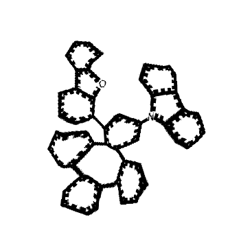 c1ccc2c(c1)-c1ccccc1-c1cc(-n3c4ccccc4c4ccccc43)cc(-c3cccc4c3oc3ccccc34)c1-c1ccccc1-2